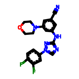 N#Cc1cc(Nc2ncn(-c3ccc(F)c(F)c3)n2)cc(N2CCOCC2)c1